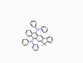 CC1(C)c2ccccc2-c2cc3c(N(c4ccccc4)c4ccccc4)c4ccccc4c(N(c4ccccc4)c4ccccc4)c3cc21